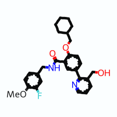 COc1ccc(CNC(=O)c2cc(-c3ncccc3CO)ccc2OCC2CCCCC2)cc1F